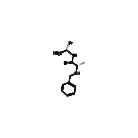 CC(C)[C@H](NC(=O)[C@H](C)NCc1ccccc1)C(=O)O